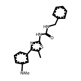 CNc1cccc(-c2nc(NC(=O)NCc3ccccc3)sc2C)c1